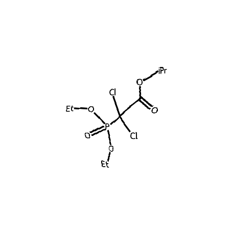 CCOP(=O)(OCC)C(Cl)(Cl)C(=O)OC(C)C